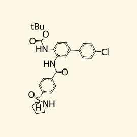 CC(C)(C)OC(=O)Nc1ccc(-c2ccc(Cl)cc2)cc1NC(=O)c1ccc([SH]2(=O)CCCN2)cc1